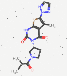 Cc1c(-n2nccn2)sc2[nH]c(=O)n([C@@H]3CCN(C(=O)C(C)C)C3)c(=O)c12